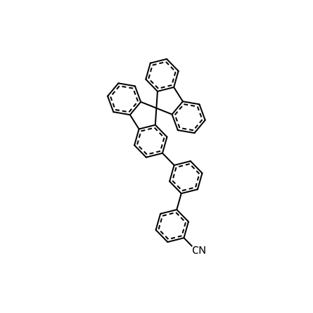 N#Cc1cccc(-c2cccc(-c3ccc4c(c3)C3(c5ccccc5-c5ccccc53)c3ccccc3-4)c2)c1